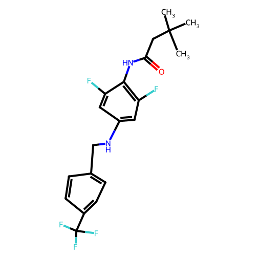 CC(C)(C)CC(=O)Nc1c(F)cc(NCc2ccc(C(F)(F)F)cc2)cc1F